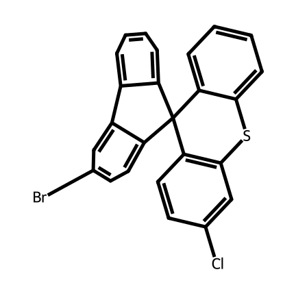 Clc1ccc2c(c1)Sc1ccccc1C21c2ccccc2-c2cc(Br)ccc21